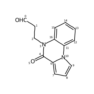 O=CCCn1c(=O)c2cccn2c2ccccc21